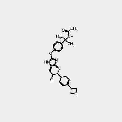 CC(=O)NC(C)(C)c1ccc(Oc2nc3c([nH]2)=CC(Cl)C(C2C=CC(C4COC4)=CC2)N=3)cc1